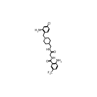 Nc1cc(Cl)ccc1CN1CCC(CNC(=O)CNC(=O)c2cc(C(F)(F)F)ccc2N)CC1